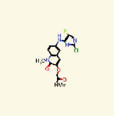 CNC(=O)COc1cc2cc(Nc3nc(Cl)ncc3F)ccc2n(C)c1=O